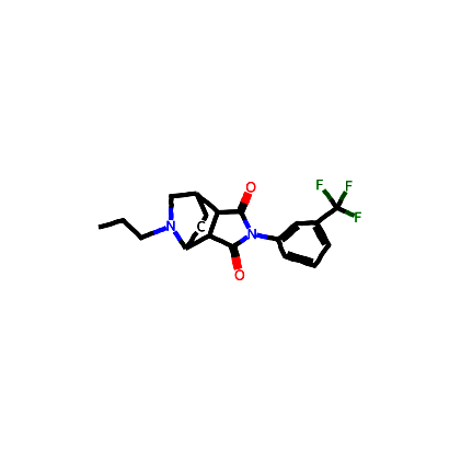 CCCN1CC2CCC1C1C(=O)N(c3cccc(C(F)(F)F)c3)C(=O)C21